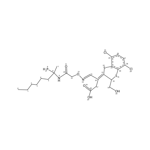 CCCCCCC(C)(P)NC(=O)CO/N=C/C(CC(=O)O)=C1\Sc2c(Cl)ccc(Cl)c2SC1CO